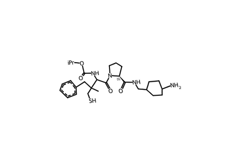 CC(C)OC(=O)NC(C(=O)N1CCC[C@H]1C(=O)NCC1CCC(N)CC1)C(C)(CS)Cc1ccccc1